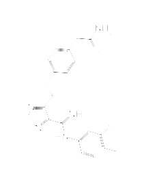 N=C(Nc1ccc(F)c(Cl)c1)c1nonc1COc1ccc(CC(N)=O)cc1